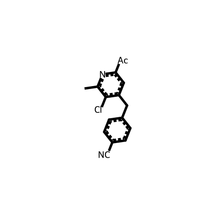 CC(=O)c1cc(Cc2ccc(C#N)cc2)c(Cl)c(C)n1